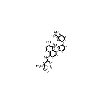 Cc1ccc2c(NC(=O)OC(C)(C)C)cccc2c1Oc1ncccc1-c1ccnc([S+](C)[O-])n1